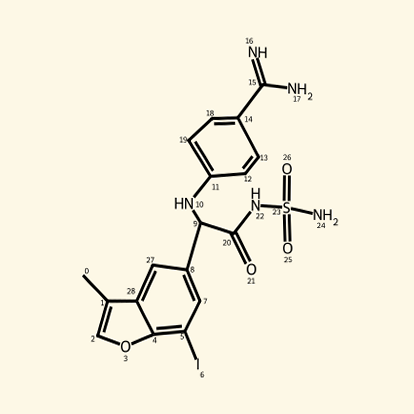 Cc1coc2c(I)cc(C(Nc3ccc(C(=N)N)cc3)C(=O)NS(N)(=O)=O)cc12